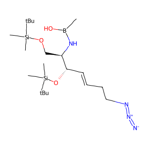 CB(O)N[C@H](CO[Si](C)(C)C(C)(C)C)[C@H](/C=C/CCN=[N+]=[N-])O[Si](C)(C)C(C)(C)C